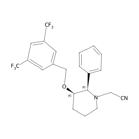 N#CCN1CCC[C@@H](OCc2cc(C(F)(F)F)cc(C(F)(F)F)c2)[C@H]1c1ccccc1